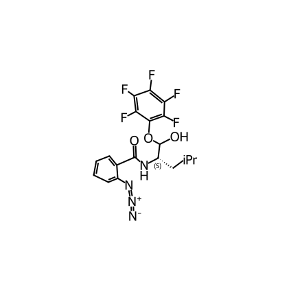 CC(C)C[C@H](NC(=O)c1ccccc1N=[N+]=[N-])C(O)Oc1c(F)c(F)c(F)c(F)c1F